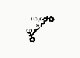 CC(CCCCC[S+]([O-])CCCCCC(C)(CCC(=O)O)c1ccccc1)(CCC(=O)O)c1ccccc1